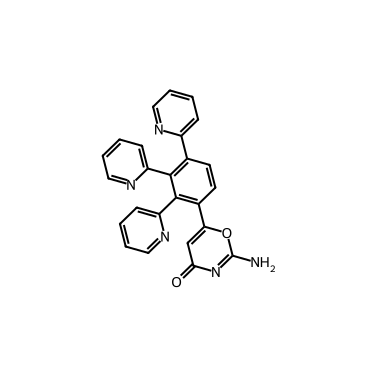 Nc1nc(=O)cc(-c2ccc(-c3ccccn3)c(-c3ccccn3)c2-c2ccccn2)o1